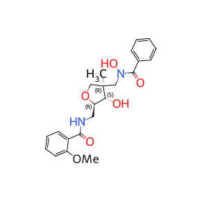 COc1ccccc1C(=O)NC[C@H]1OC[C@@](C)(CN(O)C(=O)c2ccccc2)[C@@H]1O